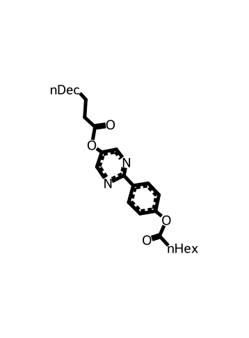 CCCCCCCCCCCCC(=O)Oc1cnc(-c2ccc(OC(=O)CCCCCC)cc2)nc1